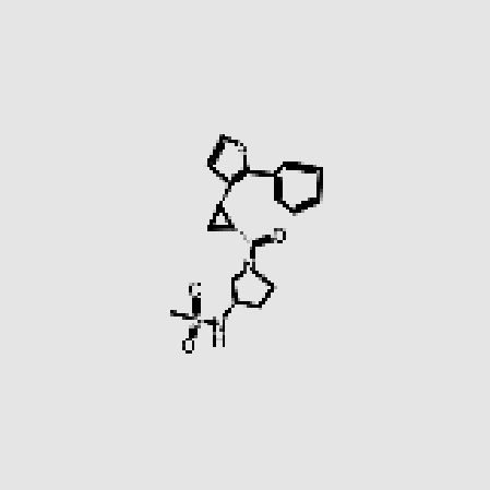 CS(=O)(=O)N[C@@H]1CCN(C(=O)[C@@H]2C[C@H]2c2ccsc2-c2ccccc2)C1